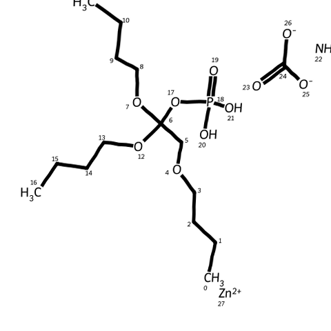 CCCCOCC(OCCCC)(OCCCC)OP(=O)(O)O.N.O=C([O-])[O-].[Zn+2]